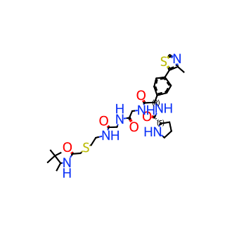 Cc1ncsc1-c1ccc([C@@H](NC(=O)[C@@H]2CCCN2)C(=O)NCC(=O)NCC(=O)NCCSCC(=O)NC(C)C(C)(C)C)cc1